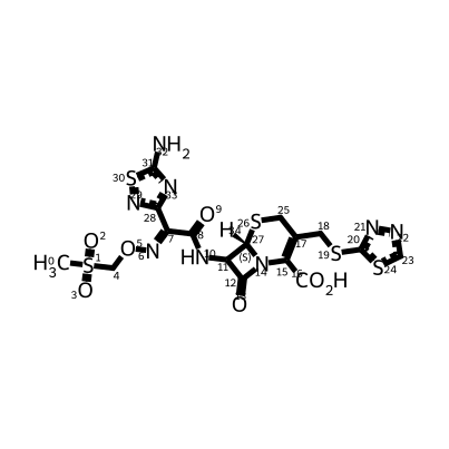 CS(=O)(=O)CON=C(C(=O)NC1C(=O)N2C(C(=O)O)=C(CSc3nncs3)CS[C@@H]12)c1nsc(N)n1